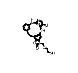 O=c1oc2c3cc(cc2n1COCCS)Nc1nc(ncc1Cl)Nc1cccc(c1)CC3